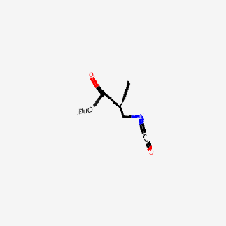 CC(C)COC(=O)[C@@H](C)CN=C=O